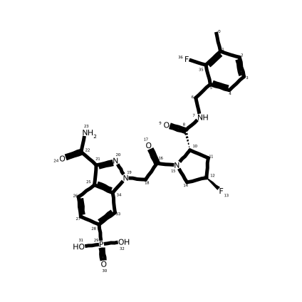 Cc1cccc(CNC(=O)[C@@H]2C[C@@H](F)CN2C(=O)Cn2nc(C(N)=O)c3ccc(P(=O)(O)O)cc32)c1F